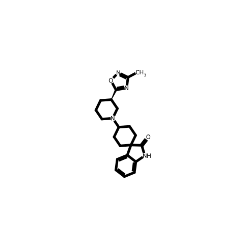 Cc1noc([C@@H]2CCCN(C3CCC4(CC3)C(=O)Nc3ccccc34)C2)n1